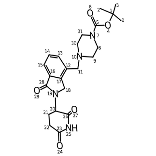 CC(C)(C)OC(=O)N1CCN(Cc2cccc3c2CN(C2CCC(=O)NC2=O)C3=O)CC1